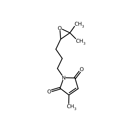 CC1=CC(=O)N(CCCC2OC2(C)C)C1=O